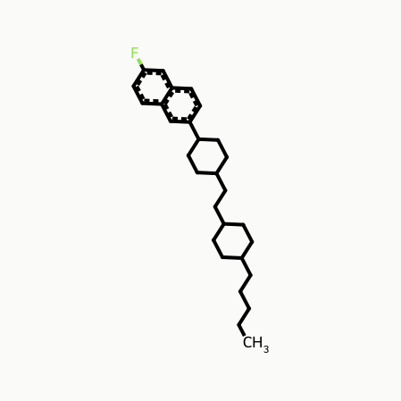 CCCCCC1CCC(CCC2CCC(c3ccc4cc(F)ccc4c3)CC2)CC1